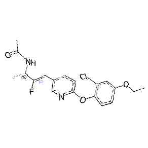 CCOc1ccc(Oc2ccc(/C=C(\F)[C@H](C)NC(C)=O)cn2)c(Cl)c1